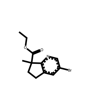 CCOC(=O)C1(C)CCc2cc(Br)cnc21